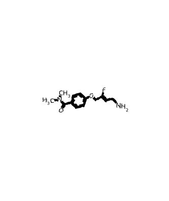 CN(C)C(=O)c1ccc(OCC(F)=CCN)cc1